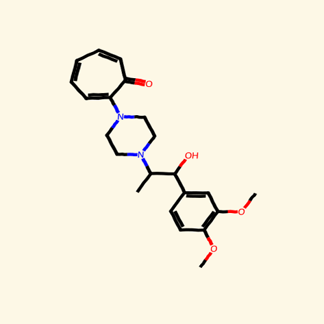 COc1ccc(C(O)C(C)N2CCN(c3cccccc3=O)CC2)cc1OC